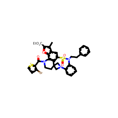 CCOC(=O)c1oc2ccc(S(=O)(=O)N(CCc3ccccc3)c3ccccc3N3CC4(CCN(C(=O)c5sccc5Br)CC4)C3)cc2c1C